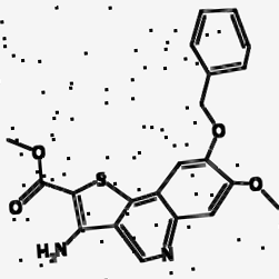 COC(=O)c1sc2c(cnc3cc(OC)c(OCc4ccccc4)cc32)c1N